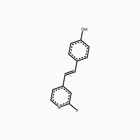 Oc1ccc(/C=C/c2ccnc(F)c2)cc1